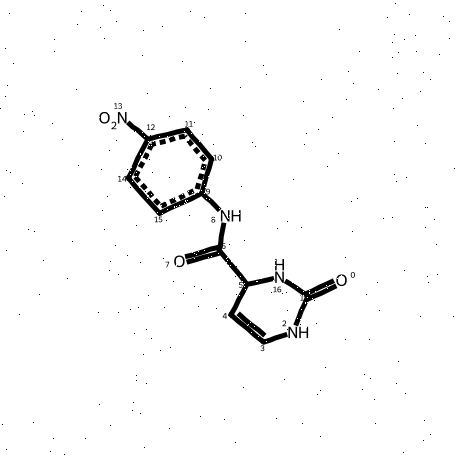 O=C1NC=CC(C(=O)Nc2ccc([N+](=O)[O-])cc2)N1